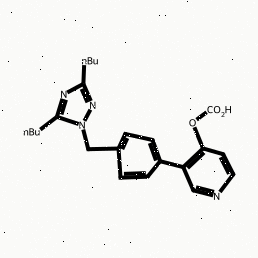 CCCCc1nc(CCCC)n(Cc2ccc(-c3cnccc3OC(=O)O)cc2)n1